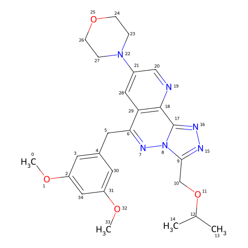 COc1cc(Cc2nn3c(COC(C)C)nnc3c3ncc(N4CCOCC4)cc23)cc(OC)c1